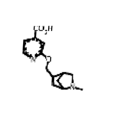 CN1CC2CC1CC2COc1cc(C(=O)O)ccn1